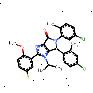 COc1ccc(F)cc1-c1nc2c(n1C(C)C)C(c1ccc(Cl)cc1C)N(c1cc(Cl)ccc1C)C2=O